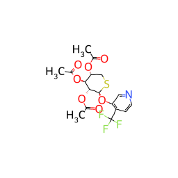 CC(=O)O[C@@H]1[C@@H](OC(C)=O)[C@H](OC(C)=O)CS[C@H]1Oc1cnccc1C(F)(F)F